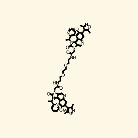 COc1cc2c(cc1-c1c(C)noc1C)ncc1c2n(C(C)c2ccccn2)c(=O)n1CC(=O)NCCOCCOCCNC(=O)Cn1c(=O)n(C(C)c2ccccn2)c2c3cc(OC)c(-c4c(C)noc4C)cc3ncc21